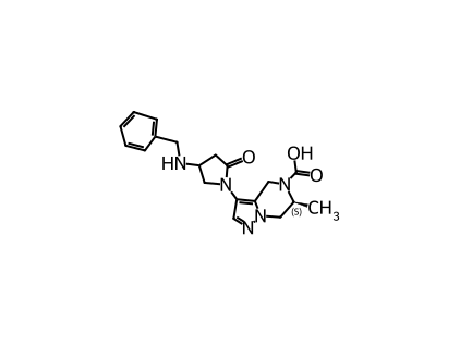 C[C@H]1Cn2ncc(N3CC(NCc4ccccc4)CC3=O)c2CN1C(=O)O